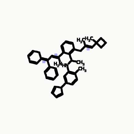 C/C(=C\C1(C)CCC1)Cc1cccc(/C(N)=C/C(=C2/C=CC=CC2)c2ccccc2)c1C(C)Nc1cc(C2C=CC=C2)ccc1C